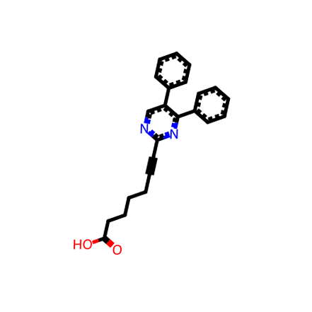 O=C(O)CCCCC#Cc1ncc(-c2ccccc2)c(-c2ccccc2)n1